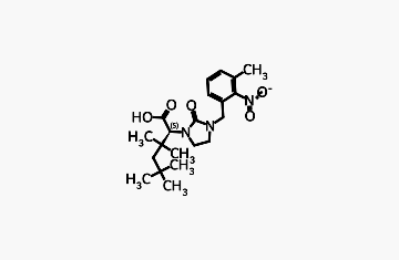 Cc1cccc(CN2CCN([C@H](C(=O)O)C(C)(C)CC(C)(C)C)C2=O)c1[N+](=O)[O-]